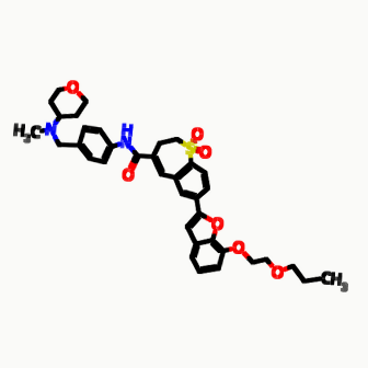 CCCOCCOc1cccc2cc(-c3ccc4c(c3)C=C(C(=O)Nc3ccc(CN(C)C5CCOCC5)cc3)CCS4(=O)=O)oc12